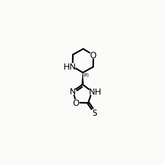 S=c1[nH]c([C@@H]2COCCN2)no1